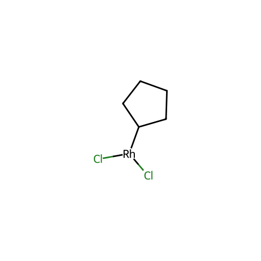 [Cl][Rh]([Cl])[CH]1CCCC1